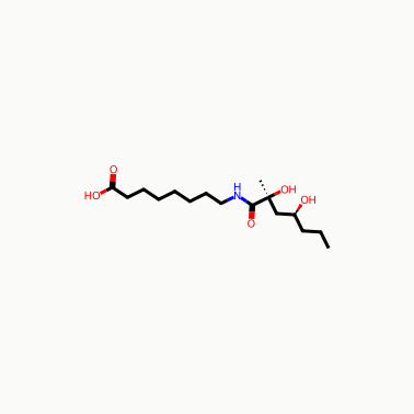 CCC[C@H](O)C[C@](C)(O)C(=O)NCCCCCCCC(=O)O